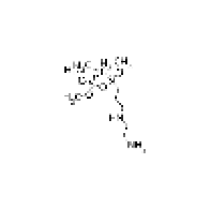 CO[Si](C)(CCCNCCN)O[Si](OC)(OC)OC